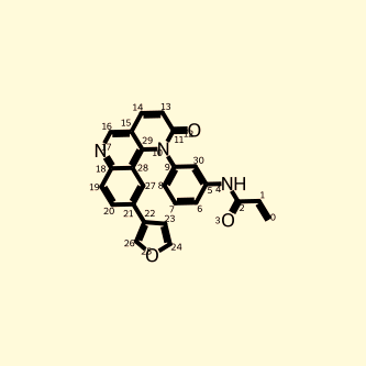 C=CC(=O)Nc1cccc(-n2c(=O)ccc3cnc4ccc(-c5ccoc5)cc4c32)c1